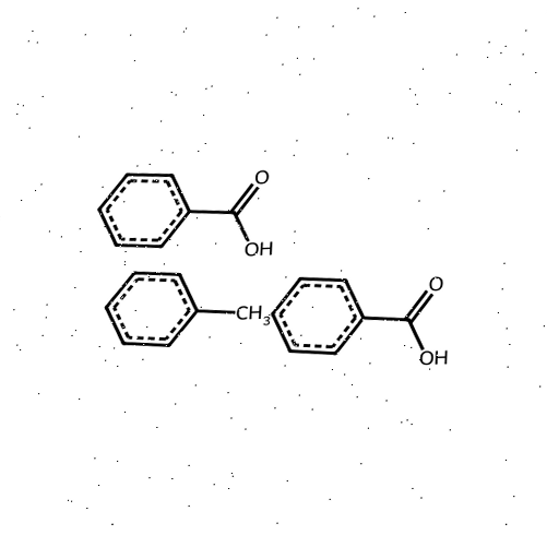 Cc1ccccc1.O=C(O)c1ccccc1.O=C(O)c1ccccc1